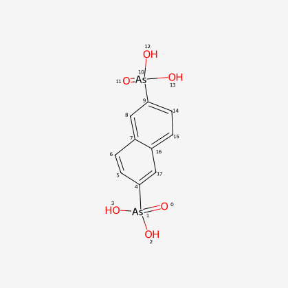 O=[As](O)(O)c1ccc2cc([As](=O)(O)O)ccc2c1